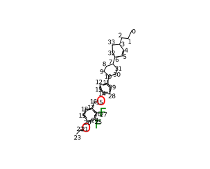 CCCC1C=CC(C2CCC(c3ccc(OCc4ccc(OCC)c(F)c4F)cc3)CC2)CC1